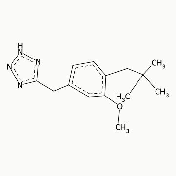 COc1cc(Cc2nn[nH]n2)ccc1CC(C)(C)C